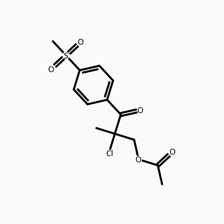 CC(=O)OCC(C)(Cl)C(=O)c1ccc(S(C)(=O)=O)cc1